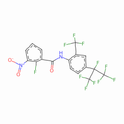 O=C(Nc1ccc(C(F)(C(F)(F)F)C(F)(F)F)cc1C(F)(F)F)c1cccc([N+](=O)[O-])c1F